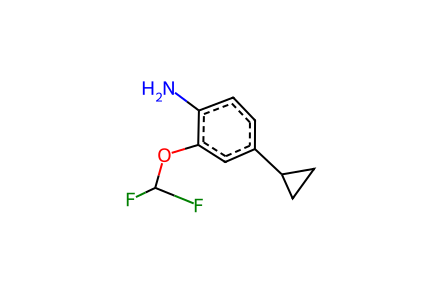 Nc1ccc(C2CC2)cc1OC(F)F